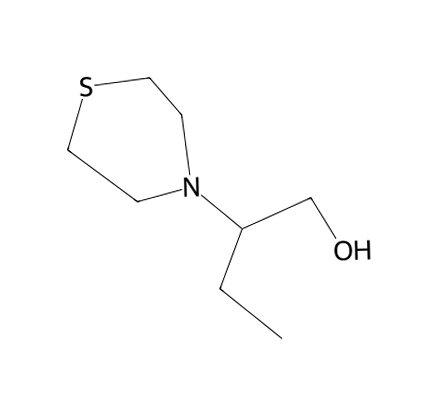 CCC(CO)N1CCSCC1